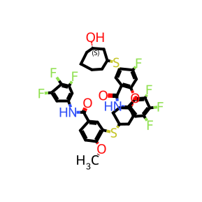 COc1ccc(C(=O)Nc2cc(F)c(F)c(F)c2)cc1SC1CCC(Oc2cc(F)c(SC3CCCC[C@H](O)C3)cc2C(=O)Nc2cc(F)c(F)c(F)c2)CC1